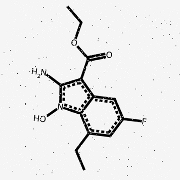 CCOC(=O)c1c(N)n(O)c2c(CC)cc(F)cc12